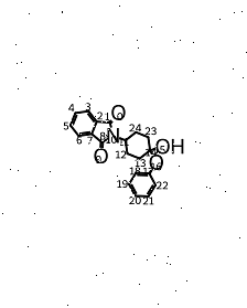 O=C1c2ccccc2C(=O)N1C1CCC(O)(Oc2ccccc2)CC1